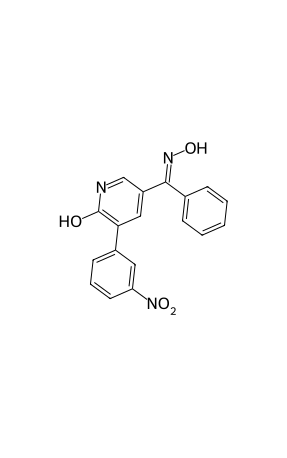 O=[N+]([O-])c1cccc(-c2cc(C(=NO)c3ccccc3)cnc2O)c1